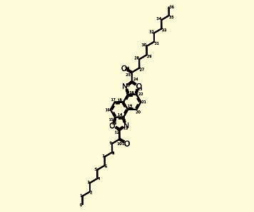 CCCCCCCCCCC(=O)c1nc2c(ccc3c2ccc2oc(C(=O)CCCCCCCCCC)nc23)o1